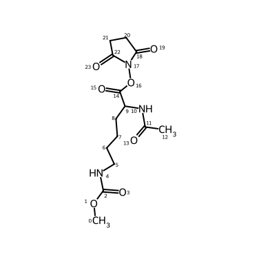 COC(=O)NCCCCC(NC(C)=O)C(=O)ON1C(=O)CCC1=O